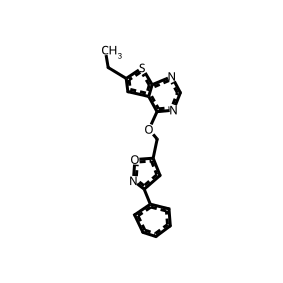 CCc1cc2c(OCc3cc(-c4ccccc4)no3)ncnc2s1